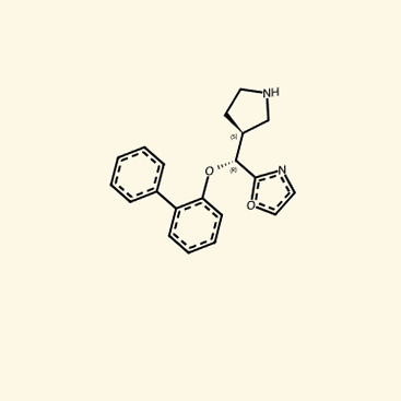 c1ccc(-c2ccccc2O[C@@H](c2ncco2)[C@H]2CCNC2)cc1